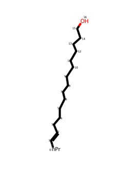 CCC/C=C/CCCCCCCCCCCCCO